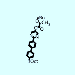 CCCCCCCCc1ccc(-c2ccc(-c3ncc(OC(=O)[C@@H](C)OCCCC)cn3)cc2)cc1